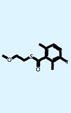 COCCSC(=O)c1c(C)ccc(I)c1C